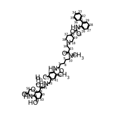 Cc1cc(NC(=O)CCCCN(C)C(=O)CCN2CCC(OC(=O)Nc3ccccc3-c3ccccc3)CC2)c(C)cc1CNC[C@H](O)c1ccc(O)c2c1OCC(=O)N2